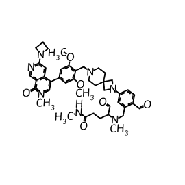 CNC(=O)CCC(C=O)N(C)Cc1cc(N2CC3(CCN(Cc4c(OC)cc(-c5cn(C)c(=O)c6cnc(N7CCC7)cc56)cc4OC)CC3)C2)ccc1C=O